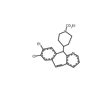 CCOC(=O)N1CCC(C2c3cc(CC)c(Cl)cc3C=Cc3cccnc32)CC1